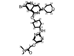 CN(C)C(=O)COc1cnc(NC2CCC(Oc3nc(N4CCOCC4)cc4ncc(Br)cc34)CC2)nc1